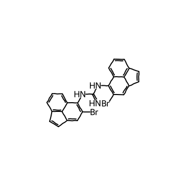 N=C(Nc1c(Br)cc2c3c(cccc13)C=C2)Nc1c(Br)cc2c3c(cccc13)C=C2